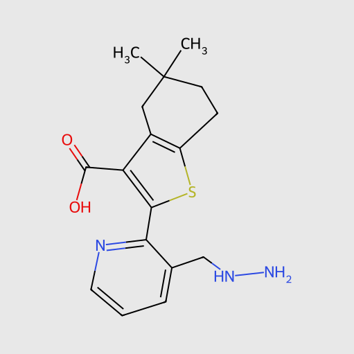 CC1(C)CCc2sc(-c3ncccc3CNN)c(C(=O)O)c2C1